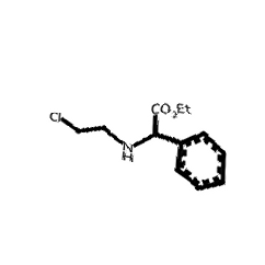 CCOC(=O)C(NCCCl)c1ccccc1